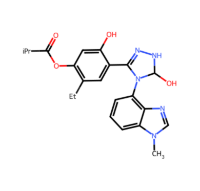 CCc1cc(C2=NNC(O)N2c2cccc3c2ncn3C)c(O)cc1OC(=O)C(C)C